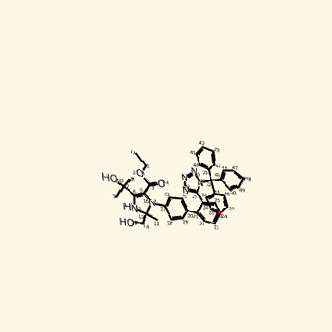 CCOC(=O)C1=C(C(C)(C)O)NC(C)(CO)N1c1ccc(-c2ccccc2-c2nnnn2C(c2ccccc2)(c2ccccc2)c2ccccc2)cc1